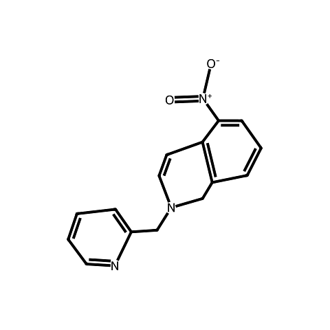 O=[N+]([O-])c1cccc2c1C=CN(Cc1ccccn1)C2